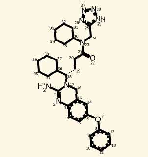 NC1=Nc2ccc(Oc3ccccc3)cc2CN1[C@@H](CCC(=O)N(Cc1nnn[nH]1)C1CCCCC1)C1CCCCC1